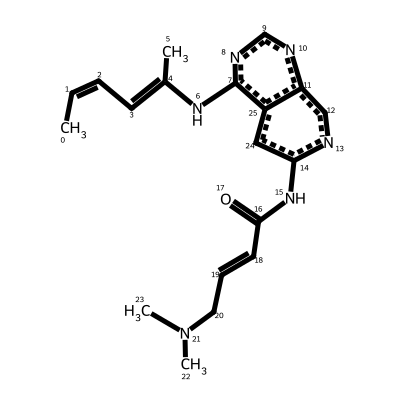 C/C=C\C=C(/C)Nc1ncnc2cnc(NC(=O)/C=C/CN(C)C)cc12